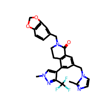 Cc1nccn1Cc1cc2c(c(-c3cn(C)nc3C(F)(F)F)c1)CCN(Cc1ccc3c(c1)OCO3)C2=O